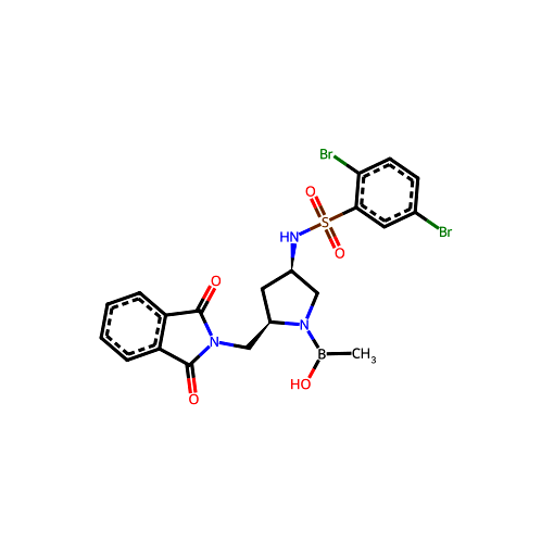 CB(O)N1C[C@H](NS(=O)(=O)c2cc(Br)ccc2Br)C[C@@H]1CN1C(=O)c2ccccc2C1=O